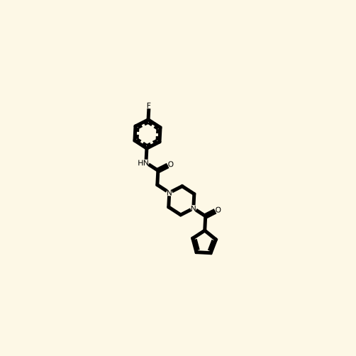 O=C(CN1CCN(C(=O)C2C=CC=C2)CC1)Nc1ccc(F)cc1